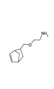 NCCOCC1CC2C=CC1C2